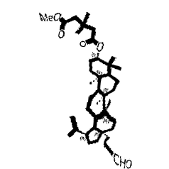 C=C(C)[C@@H]1CC[C@]2(CCC=O)CC[C@]3(C)C(CCC4[C@@]5(C)CC[C@H](OC(=O)CC(C)(C)CC(=O)OC)C(C)(C)C5CC[C@]43C)C12